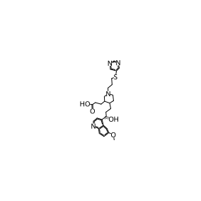 COc1ccc2nccc([C@@H](O)CCC3CCN(CCCSc4cncnc4)CC3CCC(=O)O)c2c1